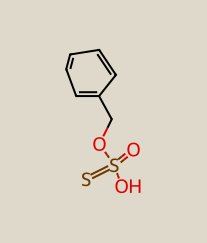 O=S(O)(=S)OCc1ccccc1